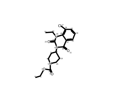 CCOC(=O)N1CCC(n2c(=O)c3cccc(Cl)c3n(CC)c2=O)CC1